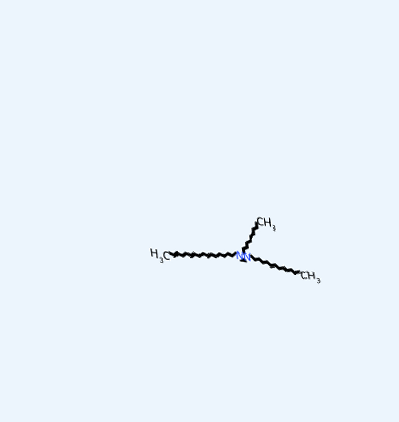 CCCCCCCCCCCCCCCCCCN1C=CN(CCCCCCCCCCCCCC)C1CCCCCCCCCC